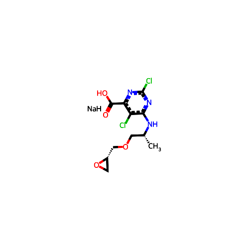 C[C@H](COC[C@@H]1CO1)Nc1nc(Cl)nc(C(=O)O)c1Cl.[NaH]